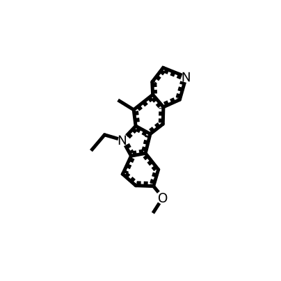 CCn1c2ccc(OC)cc2c2cc3cnccc3c(C)c21